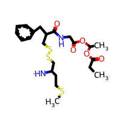 CCC(=O)OC(C)OC(=O)CNC(=O)C(CSSCC([NH])CCSC)Cc1ccccc1